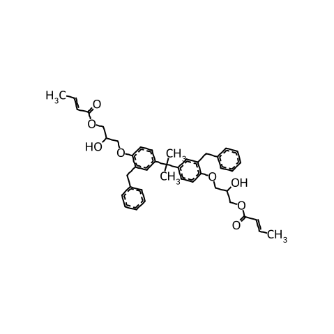 CC=CC(=O)OCC(O)COc1ccc(C(C)(C)c2ccc(OCC(O)COC(=O)C=CC)c(Cc3ccccc3)c2)cc1Cc1ccccc1